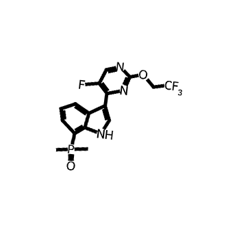 CP(C)(=O)c1cccc2c(-c3nc(OCC(F)(F)F)ncc3F)c[nH]c12